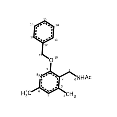 CC(=O)NCc1c(C)cc(C)nc1OCc1ccccc1